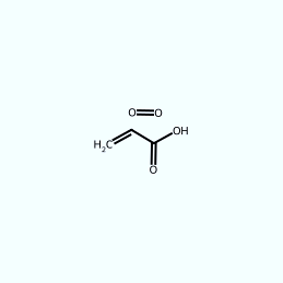 C=CC(=O)O.O=O